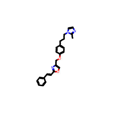 Cc1nccn1CCCc1ccc(OCc2coc(C=Cc3ccccc3)n2)cc1